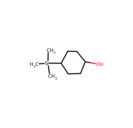 C[Si](C)(C)C1CCC(O)CC1